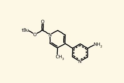 CC1=CN(C(=O)OC(C)(C)C)CC=C1c1cncc(N)c1